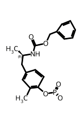 Cc1cc(C[C@@H](C)NC(=O)OCc2ccccc2)ccc1OP(=O)=O